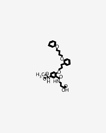 CS(=O)(=O)Nc1ccc(OCCCc2ccccc2OCCCCOc2ccccc2)c(C(=O)NCCC(=O)O)c1